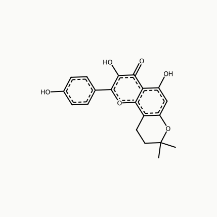 CC1(C)CCc2c(cc(O)c3c(=O)c(O)c(-c4ccc(O)cc4)oc23)O1